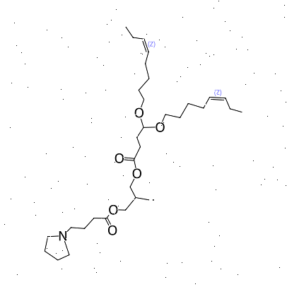 [CH2]C(COC(=O)CCCN1CCCC1)COC(=O)CCC(OCCCC/C=C\CC)OCCCC/C=C\CC